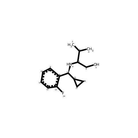 CC(C)C(CO)N[C@H](c1ccccc1F)C1CC1